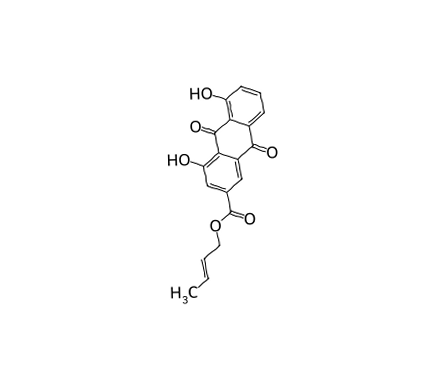 C/C=C/COC(=O)c1cc(O)c2c(c1)C(=O)c1cccc(O)c1C2=O